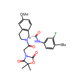 COc1ccc2c(c1)CCN(C(=O)CN1C(=O)OC(C)(C)C1=O)[C@H]2C(=O)Nc1ccc(C(C)(C)C)c(F)c1